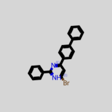 N=C(/N=C(\C=C\Br)c1ccc(-c2ccccc2)cc1)c1ccccc1